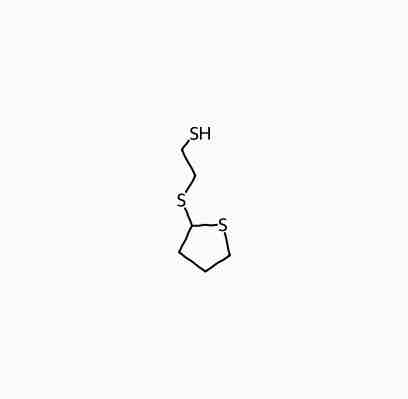 SCCSC1CCCS1